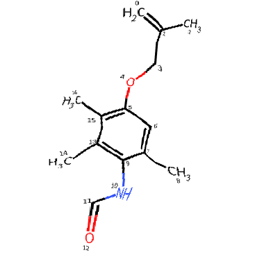 C=C(C)COc1cc(C)c(NC=O)c(C)c1C